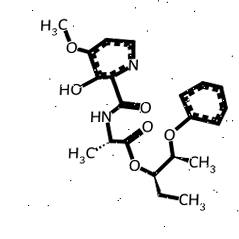 CC[C@@H](OC(=O)[C@H](C)NC(=O)c1nccc(OC)c1O)[C@H](C)Oc1ccccc1